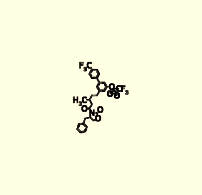 CC(CCc1cc(OS(=O)(=O)C(F)(F)F)cc(-c2ccc(C(F)(F)F)cc2)c1)CC(=O)N1C(=O)OCC1Cc1ccccc1